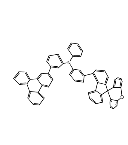 c1ccc(N(c2cccc(-c3ccc4c5ccccc5c5ccccc5c4c3)c2)c2cccc(-c3cccc4c3-c3ccccc3C43c4ccccc4Oc4ccccc43)c2)cc1